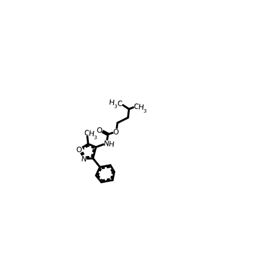 Cc1onc(-c2ccccc2)c1NC(=O)OCCC(C)C